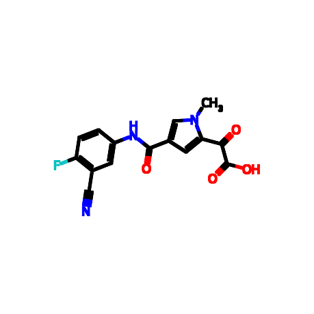 Cn1cc(C(=O)Nc2ccc(F)c(C#N)c2)cc1C(=O)C(=O)O